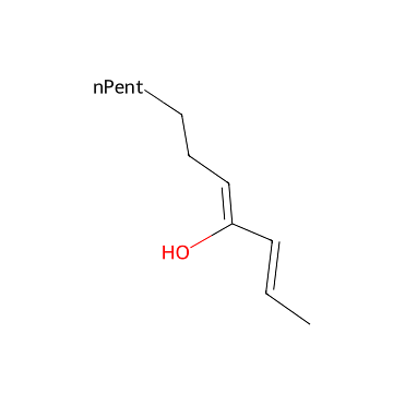 CC=CC(O)=CCCCCCCC